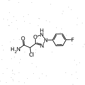 NC(=O)C(Cl)C1=NN(c2ccc(F)cc2)NO1